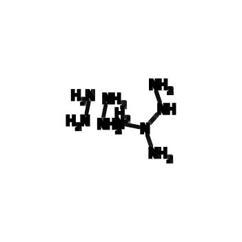 NN.NN.NNN(N)N